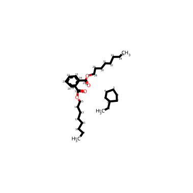 CCC1CCCCC1.CCCCCCCCOC(=O)c1ccccc1C(=O)OCCCCCCCC